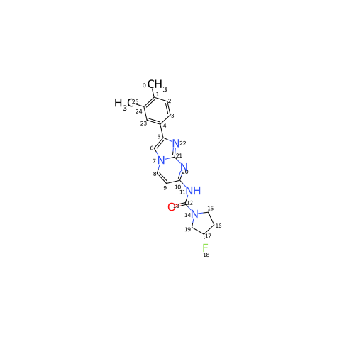 Cc1ccc(-c2cn3ccc(NC(=O)N4CC[C@H](F)C4)nc3n2)cc1C